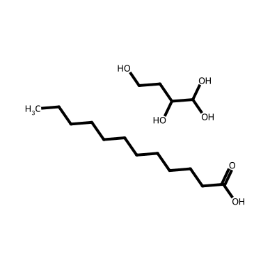 CCCCCCCCCCCC(=O)O.OCCC(O)C(O)O